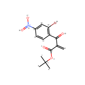 C=C(C(=O)OC(C)(C)C)C(=O)c1ccc([N+](=O)[O-])cc1Br